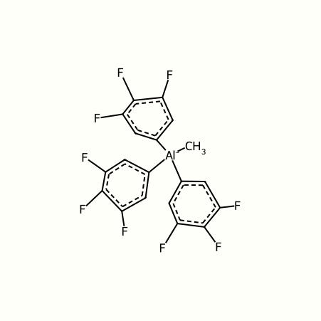 [CH3][Al-]([c]1cc(F)c(F)c(F)c1)([c]1cc(F)c(F)c(F)c1)[c]1cc(F)c(F)c(F)c1